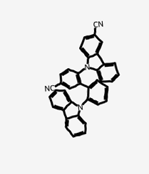 N#Cc1ccc(-n2c3ccccc3c3cc(C#N)ccc32)c(-c2ccccc2-n2c3ccccc3c3ccccc32)c1